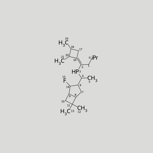 CC(C)C/C(PC(C)C1CC2C(CC2(C)C)C1F)=C1\CC(C)C1C